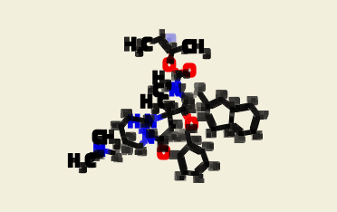 C/C=C(/C)OC(=O)N(C)[C@H](Cc1ccc2ccccc2c1)C(=O)C(C)(N)[C@H](Cc1ccccc1)C(=O)N1CCC[C@@H](CN(C)C)C1